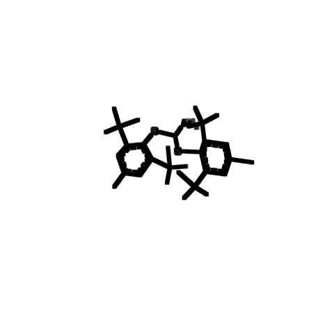 Cc1cc(C(C)(C)C)c(O[CH]([AlH2])Oc2c(C(C)(C)C)cc(C)cc2C(C)(C)C)c(C(C)(C)C)c1